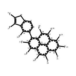 FC1=C(F)c2c(ccc(-c3c(F)c(F)c4c(F)c(F)c5c(F)c(F)c(F)c6c(F)c(F)c3c4c56)c2F)[CH]1